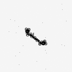 O=C1C=CC(C(=O)NCCOCCOCCOCCNC(=O)C2=CC(=O)C(=O)C=C2)=CC1=O